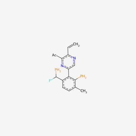 C=Cc1ncc(-c2c(C(F)P)ccc(C)c2P)nc1C(C)=O